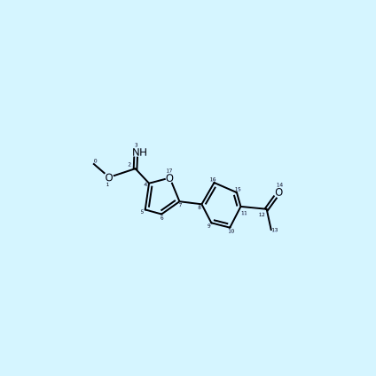 COC(=N)c1ccc(-c2ccc(C(C)=O)cc2)o1